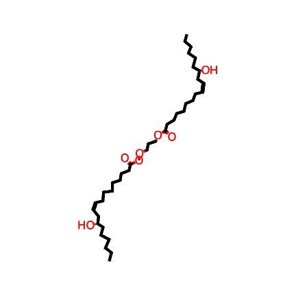 CCCCCC[C@@H](O)C/C=C\CCCCCCCC(=O)OCCCOOC(=O)CCCCCCC/C=C\C[C@H](O)CCCCCC